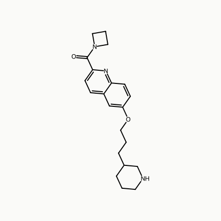 O=C(c1ccc2cc(OCCCC3CCCNC3)ccc2n1)N1CCC1